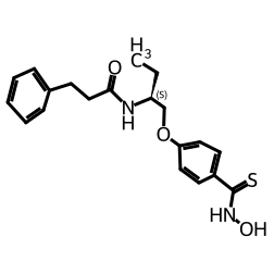 CC[C@@H](COc1ccc(C(=S)NO)cc1)NC(=O)CCc1ccccc1